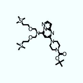 CC(C)(C)OC(=O)N1CCN(c2cc(N(COCC[Si](C)(C)C)COCC[Si](C)(C)C)n3nccc3n2)CC1